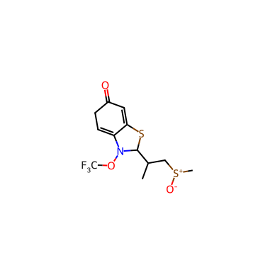 CC(C[S+](C)[O-])C1SC2=CC(=O)CC=C2N1OC(F)(F)F